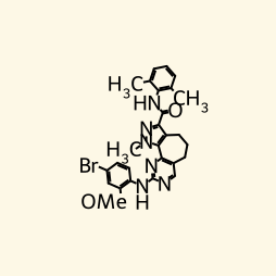 COc1cc(Br)ccc1Nc1ncc2c(n1)-c1c(c(C(=O)Nc3c(C)cccc3C)nn1C)CCC2